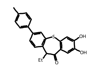 CCC1C(=O)c2cc(O)c(O)cc2Sc2cc(-c3ccc(C)cc3)ccc21